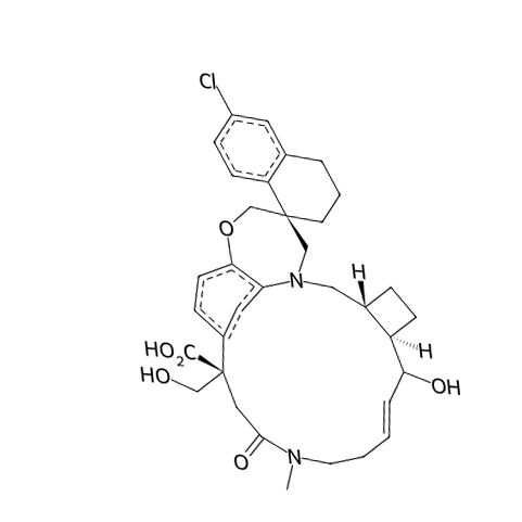 CN1CC/C=C/C(O)[C@@H]2CC[C@H]2CN2C[C@@]3(CCCc4cc(Cl)ccc43)COc3ccc(cc32)[C@](CO)(C(=O)O)CC1=O